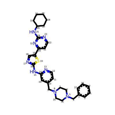 c1ccc(CN2CCN(Cc3ccnc(Nc4ncc(-c5ccnc(NC6CCCCC6)n5)s4)c3)CC2)cc1